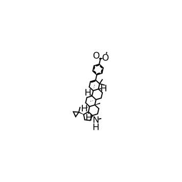 CN[C@]12CC[C@@H](C3(C)CC3)[C@@H]1[C@H]1CC[C@@H]3[C@@]4(C)CC=C(c5ccc(C(=O)OC)cc5)C(C)(C)[C@@H]4CC[C@@]3(C)[C@]1(C)CC2